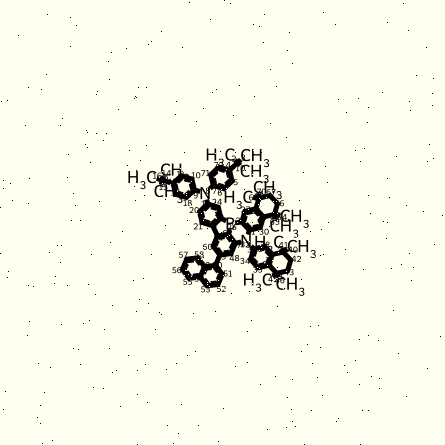 CC(C)(C)c1ccc(N(c2ccc(C(C)(C)C)cc2)c2ccc3c(c2)B2c4cc5c(cc4N(c4ccc6c(c4)C(C)(C)CCC6(C)C)c4cc(-c6cccc7ccccc67)cc-3c42)C(C)(C)CCC5(C)C)cc1